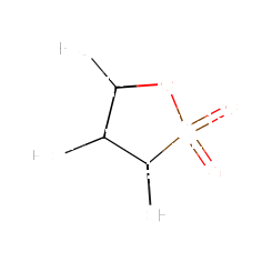 O=S1(=O)OC(C(F)(F)F)C(C(F)(F)F)C1C(F)(F)F